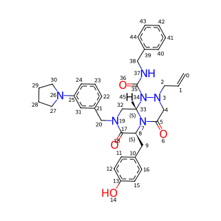 C=CCN1CC(=O)N2[C@@H](Cc3ccc(O)cc3)C(=O)N(Cc3cccc(N4CCCC4)c3)C[C@@H]2N1C(=O)NCc1ccccc1